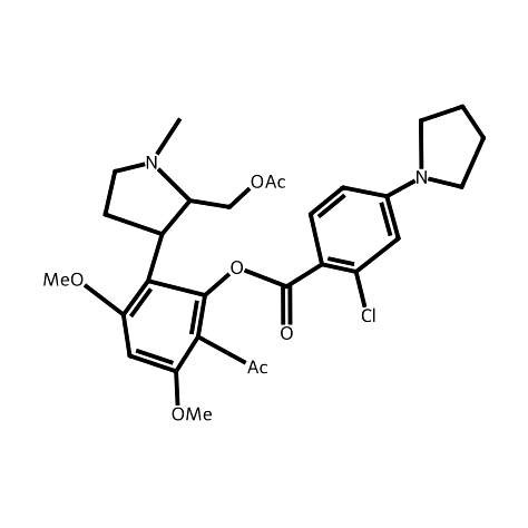 COc1cc(OC)c(C2CCN(C)C2COC(C)=O)c(OC(=O)c2ccc(N3CCCC3)cc2Cl)c1C(C)=O